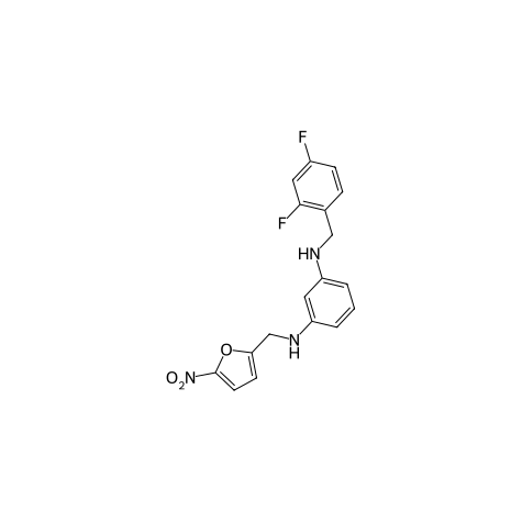 O=[N+]([O-])c1ccc(CNc2cccc(NCc3ccc(F)cc3F)c2)o1